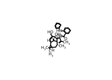 CC1=C[C@]23C(=O)[C@@H](C=C(CO)[C@@H](O)[C@]2(O)[C@H]1OC(=O)c1ccccc1Nc1ccccc1)C1[C@@H](C[C@H]3C)C1(C)C